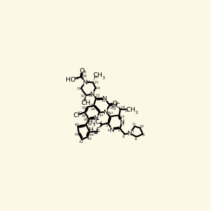 CC(C)c1nc(CN2CCCC2)nc(C(C)C)c1-n1c(=O)nc(N2C[C@@H](C)N(C(=O)O)C[C@@H]2C)c2cc(Cl)c(-c3ccccc3F)nc21